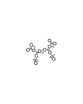 CC1(C)c2cc(N(c3ccc(-c4nc5ccccc5o4)cc3)c3ccc4c(c3)C(C)(C)c3ccccc3N4c3ccccc3)ccc2-c2ccc(N(c3ccc(-c4nc5ccccc5o4)cc3)c3ccc4c(c3)C(C)(C)c3ccccc3N4c3ccccc3)cc21